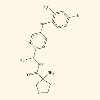 CC(NC(=O)C1(N)CCOC1)c1ccc(Nc2ccc(Br)cc2C(F)(F)F)cn1